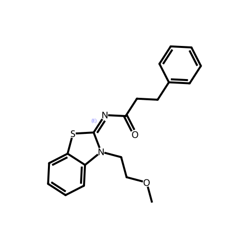 COCCn1/c(=N\C(=O)CCc2ccccc2)sc2ccccc21